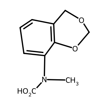 CN(C(=O)O)c1cccc2c1OCOC2